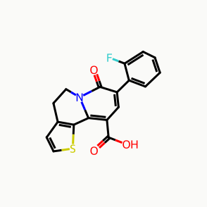 O=C(O)c1cc(-c2ccccc2F)c(=O)n2c1-c1sccc1CC2